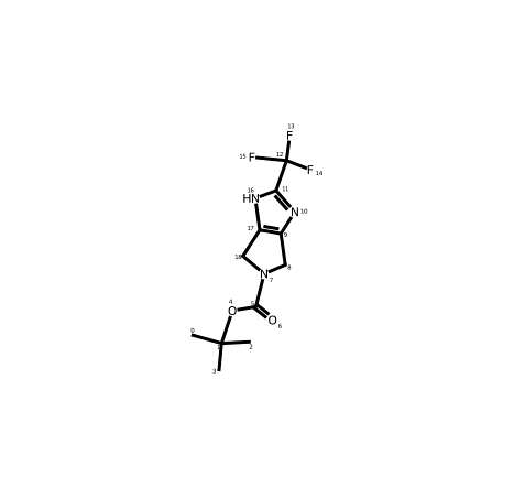 CC(C)(C)OC(=O)N1Cc2nc(C(F)(F)F)[nH]c2C1